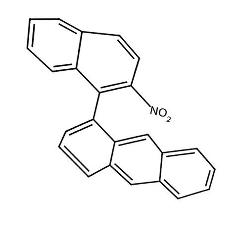 O=[N+]([O-])c1ccc2ccccc2c1-c1cccc2cc3ccccc3cc12